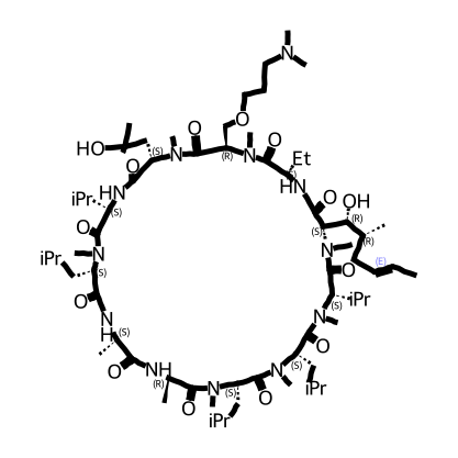 C/C=C/C[C@@H](C)[C@@H](O)[C@H]1C(=O)N[C@@H](CC)C(=O)N(C)[C@H](COCCCN(C)C)C(=O)N(C)[C@@H](CC(C)(C)O)C(=O)N[C@@H](C(C)C)C(=O)N(C)[C@@H](CC(C)C)C(=O)N[C@@H](C)C(=O)N[C@H](C)C(=O)N(C)[C@@H](CC(C)C)C(=O)N(C)[C@@H](CC(C)C)C(=O)N(C)[C@@H](C(C)C)C(=O)N1C